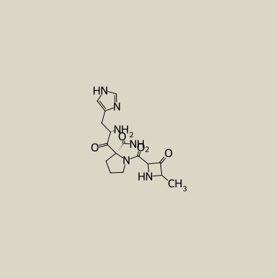 CC1NC(C(=O)N2CCC[C@@]2(C(N)=O)C(=O)[C@@H](N)Cc2c[nH]cn2)C1=O